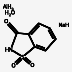 O.O=C1NS(=O)(=O)c2ccccc21.[AlH3].[NaH]